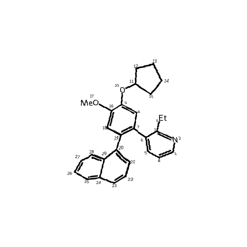 CCc1ncccc1-c1cc(OC2CCCC2)c(OC)cc1-c1cccc2ccccc12